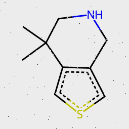 CC1(C)CNCc2cscc21